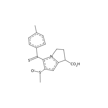 Cc1ccc(C(=S)c2c([S+](C)[O-])cc3n2CCC3C(=O)O)cc1